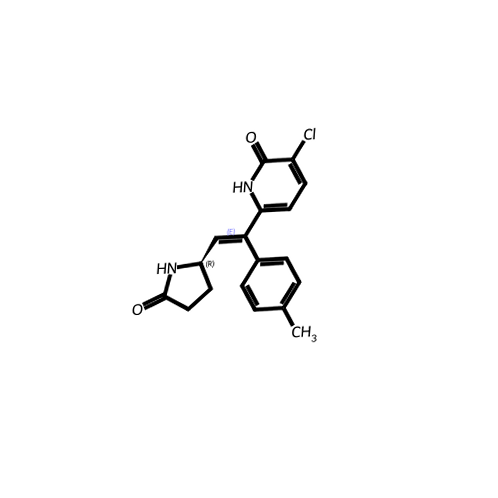 Cc1ccc(/C(=C\[C@H]2CCC(=O)N2)c2ccc(Cl)c(=O)[nH]2)cc1